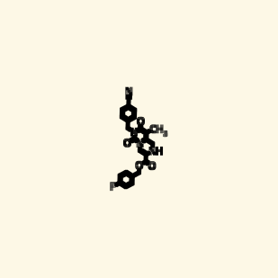 Cc1c2n(c(=O)n(Cc3ccc(C#N)cc3)c1=O)C=C(C(=O)OCc1ccc(F)cc1)NC2